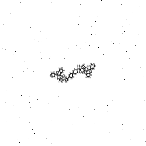 O=C(N[C@H]1CC[C@@H](c2ccc(-c3cnc([C@@H]4CCCN4C(=O)[C@H](NC(=O)N4CCOCC4)c4ccccc4)[nH]3)cc2)CC1)[C@@H]1CCCN1C(=O)[C@H](NC(=O)N1CCOCC1)c1ccccc1